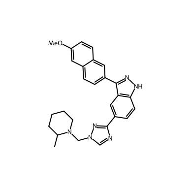 COc1ccc2cc(-c3n[nH]c4ccc(-c5ncn(CN6CCCCC6C)n5)cc34)ccc2c1